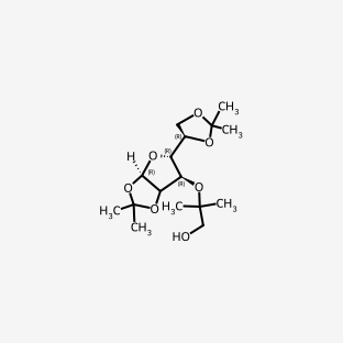 CC(C)(CO)O[C@H]1C2OC(C)(C)O[C@H]2O[C@@H]1[C@H]1COC(C)(C)O1